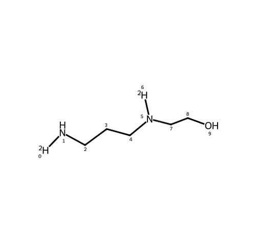 [2H]NCCCN([2H])CCO